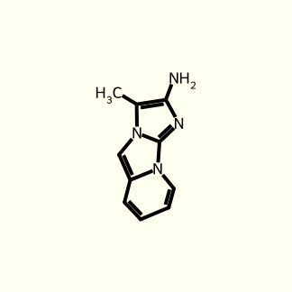 Cc1c(N)nc2n1cc1ccccn12